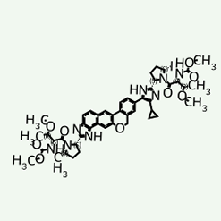 COC(=O)N[C@H](C(=O)N1[C@@H](C)CC[C@H]1c1nc2ccc3cc4c(cc3c2[nH]1)OCc1cc(-c2[nH]c([C@@H]3CC[C@H](I)N3C(=O)[C@@H](NC(=O)OC)[C@@H](C)OC)nc2C2CC2)ccc1-4)[C@@H](C)OC